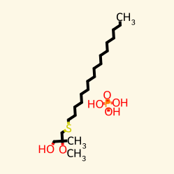 CCCCCCCCCCCCCCCCCSCC(C)(CO)OC.O=P(O)(O)O